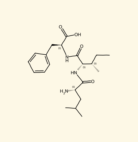 CC[C@H](C)[C@H](NC(=O)[C@@H](N)CC(C)C)C(=O)N[C@@H](Cc1ccccc1)C(=O)O